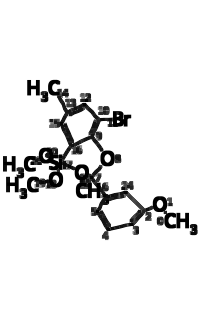 COc1cccc(COc2c(Br)cc(C)cc2[Si](OC)(OC)OC)c1